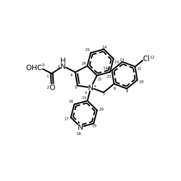 O=CC(=O)NC1=C[N+](Cc2ccc(Cl)cc2)(c2ccncc2)c2ccccc21